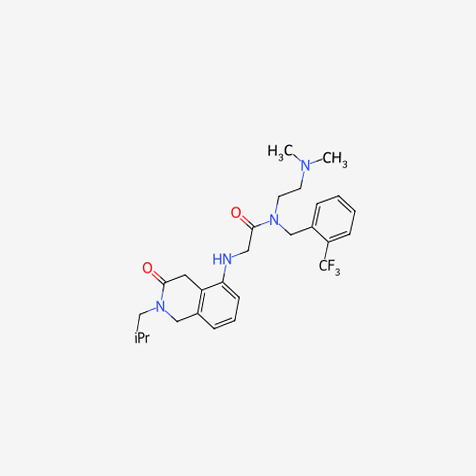 CC(C)CN1Cc2cccc(NCC(=O)N(CCN(C)C)Cc3ccccc3C(F)(F)F)c2CC1=O